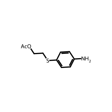 CC(=O)OCCSc1ccc(N)cc1